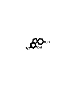 COc1cc(O)c2c(c1)CCC21CCC(O)CC1